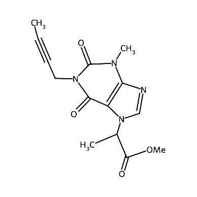 CC#CCn1c(=O)c2c(ncn2C(C)C(=O)OC)n(C)c1=O